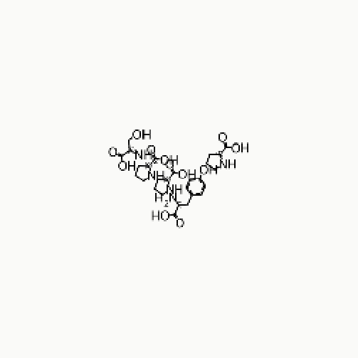 N[C@@H](CO)C(=O)O.N[C@@H](Cc1ccc(O)cc1)C(=O)O.O=C(O)[C@@H]1CCCN1.O=C(O)[C@@H]1CCCN1.O=C(O)[C@@H]1CCCN1